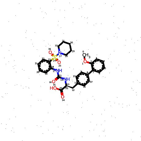 COc1ccccc1-c1ccc(C[C@H](NC(=O)Nc2ccccc2S(=O)(=O)N2CCCCC2)C(=O)O)cc1